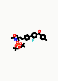 CC1=NC(CCc2ccc(C3=C(F)C[C@H](C(=O)c4ccc(C)cc4)C=C3)cc2)(COP(=O)(OC(C)(C)C)OC(C)(C)C)CO1